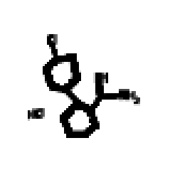 Cl.N=C(N)c1ccccc1-c1ccc(Cl)cc1